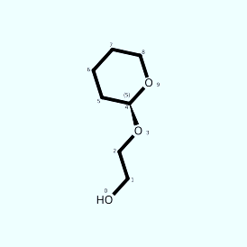 OCCO[C@H]1CCCCO1